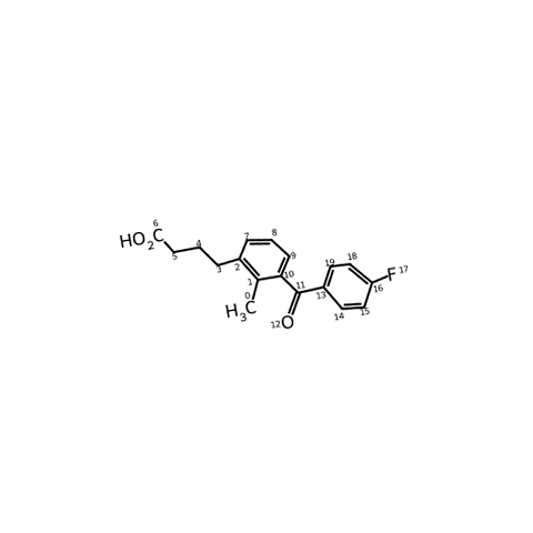 Cc1c(CCCC(=O)O)cccc1C(=O)c1ccc(F)cc1